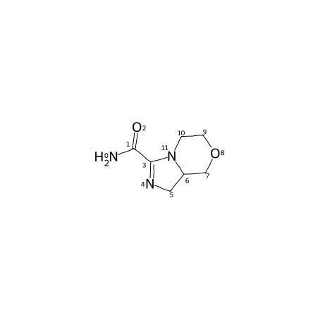 NC(=O)C1=NCC2COCCN12